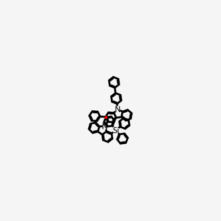 c1ccc(-c2ccc(-n3c4ccccc4c4cc(-n5c6ccccc6c6cccc([Si](c7ccccc7)(c7ccccc7)c7ccccc7)c65)c(-c5ccccc5)cc43)cc2)cc1